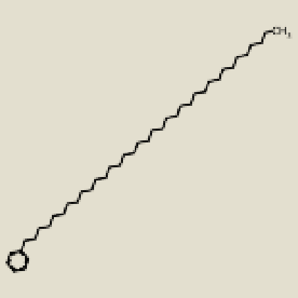 CCCCCCCCCCCCCCCCCCCCCCCCCCCCCCCCCCCCc1ccccc1